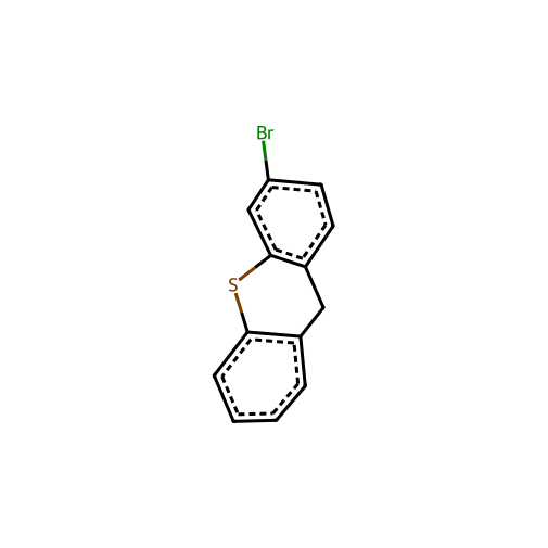 Brc1ccc2c(c1)Sc1ccccc1C2